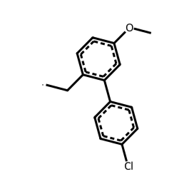 [CH2]Cc1ccc(OC)cc1-c1ccc(Cl)cc1